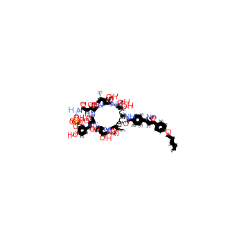 CCCCCOc1ccc(-c2cc(-c3ccc(C(=O)N[C@@H]4CC[C@@H]([C@@H](C)O)C(=O)N5C[C@H](O)C[C@H]5C(=O)N[C@@H]([C@H](O)[C@@H](O)c5ccc(O)c(OS(=O)(=O)O)c5)C(=O)N[C@@H]([C@H](O)CC(N)=O)C(=O)N5C[C@H](C)[C@H](O)[C@H]5C(=O)N[C@H](O)[C@H](O)C4)cc3)no2)cc1